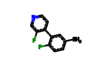 Bc1ccc(F)c(-c2ccncc2F)c1